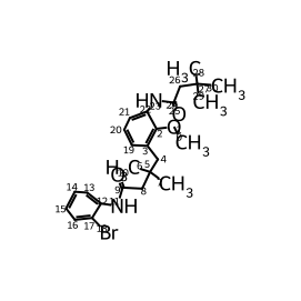 COc1c(CC(C)(C)CC(=O)Nc2ccccc2Br)cccc1NC(=O)CC(C)(C)C